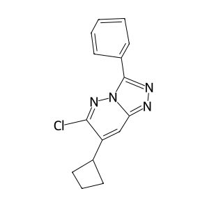 Clc1nn2c(-c3ccccc3)nnc2cc1C1CCC1